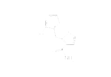 NC(=O)c1ccsc1Cc1ccccc1O